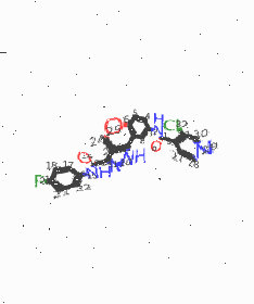 O=C(Nc1ccc2c(c1)-c1[nH]nc(C(=O)Nc3ccc(F)cc3)c1CO2)c1ccncc1Cl